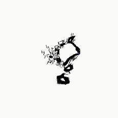 C[C@@H]1[C@@H]2CN(C(=O)[C@H](C(C)(C)C)NC(=O)O[C@@H]3C[C@@H]4C[C@@H]4[C@H]3CCC/C=C/c3nc4ccc(OCc5ccccc5)cc4nc3O2)[C@@H]1C(=O)OC(C)(C)C